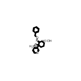 Cl.Cl.NNC1(c2cccnc2)CCCCC1=NOCc1ccccc1